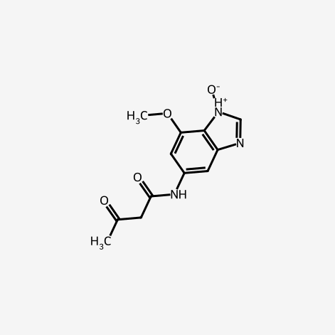 COc1cc(NC(=O)CC(C)=O)cc2c1[NH+]([O-])C=N2